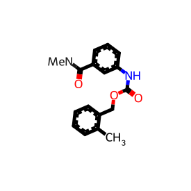 CNC(=O)c1cccc(NC(=O)OCc2ccccc2C)c1